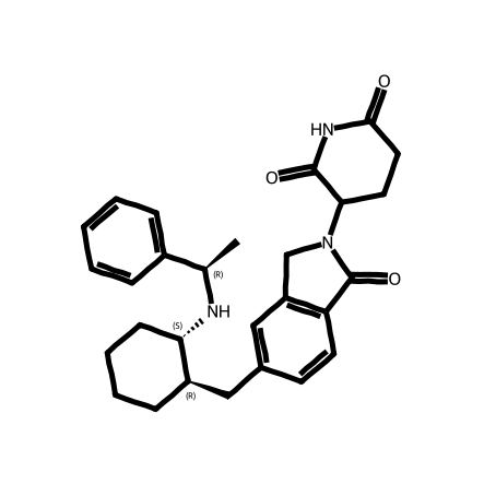 C[C@@H](N[C@H]1CCCC[C@@H]1Cc1ccc2c(c1)CN(C1CCC(=O)NC1=O)C2=O)c1ccccc1